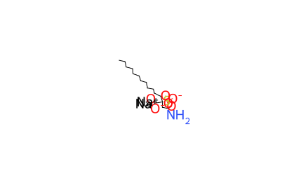 CCCCCCCCCCCCC(CC(N)=O)(C(=O)[O-])S(=O)(=O)[O-].[Na+].[Na+]